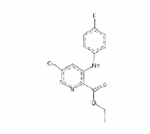 CCOC(=O)c1nnc(Cl)cc1Nc1ccc(F)cc1